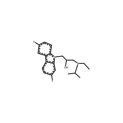 CCN(CC(O)Cn1c2ccc(F)cc2c2ccc(F)cc21)C(C)C